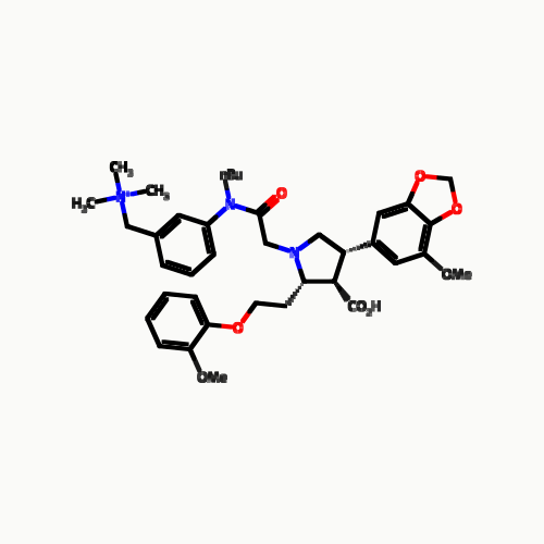 CCCCN(C(=O)CN1C[C@H](c2cc(OC)c3c(c2)OCO3)[C@@H](C(=O)O)[C@@H]1CCOc1ccccc1OC)c1cccc(C[N+](C)(C)C)c1